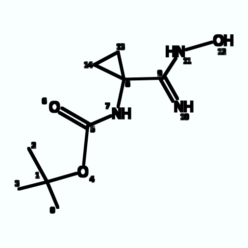 CC(C)(C)OC(=O)NC1(C(=N)NO)CC1